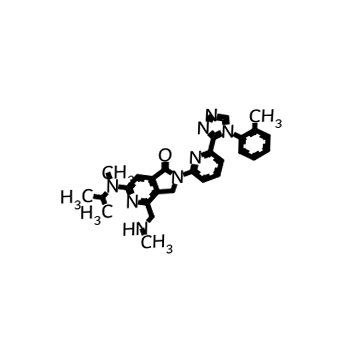 CNCc1nc(N(C)C(C)C)cc2c1CN(c1cccc(-c3nncn3-c3ccccc3C)n1)C2=O